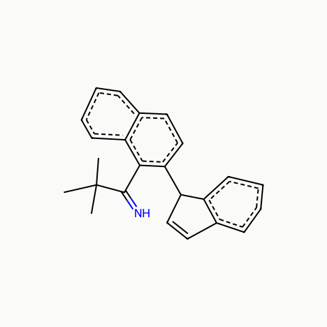 CC(C)(C)C(=N)c1c(C2C=Cc3ccccc32)ccc2ccccc12